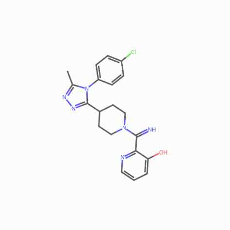 Cc1nnc(C2CCN(C(=N)c3ncccc3O)CC2)n1-c1ccc(Cl)cc1